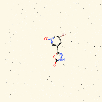 O=c1[nH]nc(-c2cc(Br)c[n+]([O-])c2)o1